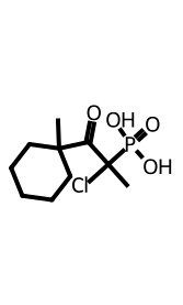 CC1(C(=O)C(C)(Cl)P(=O)(O)O)CCCCC1